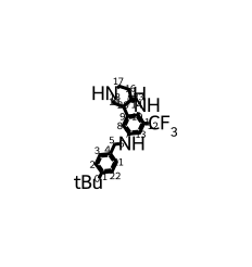 CC(C)(C)c1ccc(CNc2cc3c(c(C(F)(F)F)c2)N[C@H]2CCNCC32)cc1